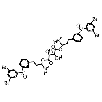 CNC(CCc1cccc([S+]([O-])c2cc(Br)cc(Br)c2)c1)OC(=O)C(O)C(O)C(=O)OC(CCc1cccc([S+]([O-])c2cc(Br)cc(Br)c2)c1)NC